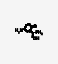 N[C@@H]1CCC(=O)N([C@H](P)CO)C1